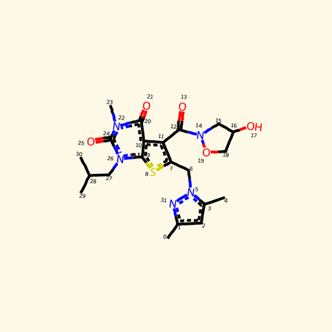 Cc1cc(C)n(Cc2sc3c(c2C(=O)N2CC(O)CO2)c(=O)n(C)c(=O)n3CC(C)C)n1